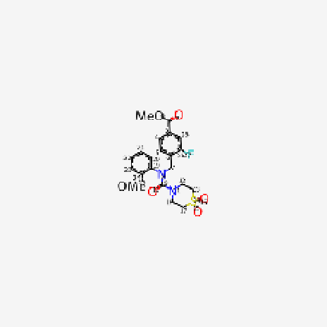 COC(=O)c1ccc(CN(C(=O)N2CCS(=O)(=O)CC2)c2ccccc2OC)c(F)c1